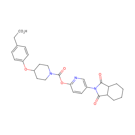 O=C(O)Cc1ccc(OC2CCN(C(=O)Oc3ccc(N4C(=O)C5CCCCC5C4=O)cn3)CC2)cc1